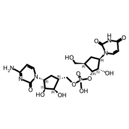 Nc1ccn([C@@H]2C[C@H](COP(=O)(O)O[C@@H]3[C@@H](CO)C[C@@H](n4ccc(=O)[nH]c4=O)[C@@H]3O)[C@@H](O)[C@H]2O)c(=O)n1